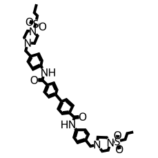 CCCS(=O)(=O)N1CCN(Cc2ccc(NC(=O)c3ccc(-c4ccc(C(=O)Nc5ccc(CN6CCN(S(=O)(=O)CCC)CC6)cc5)cc4)cc3)cc2)CC1